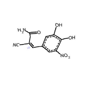 N#C/C(=C/c1cc(O)c(O)c([N+](=O)[O-])c1)C(N)=O